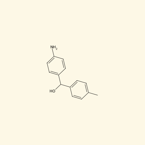 Cc1ccc(C(O)c2ccc(N)cc2)cc1